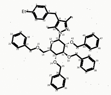 CCc1ccc(Cc2c(C)nn([C@@H]3O[C@H](COCc4ccccc4)[C@@H](OCc4ccccc4)[C@H](OCc4ccccc4)[C@H]3OCc3ccccc3)c2C)cc1